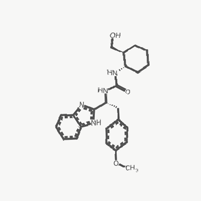 COc1ccc(C[C@@H](NC(=O)N[C@H]2CCCC[C@@H]2CO)c2nc3ccccc3[nH]2)cc1